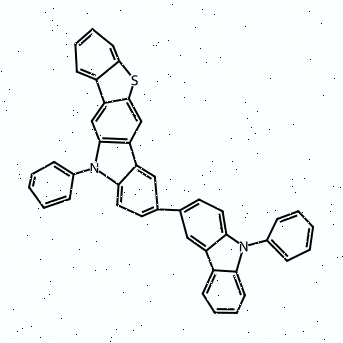 c1ccc(-n2c3ccccc3c3cc(-c4ccc5c(c4)c4cc6sc7ccccc7c6cc4n5-c4ccccc4)ccc32)cc1